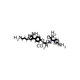 NCCCn1cc(-c2ccc(OC[C@H](O/N=C(\C(N)=O)c3csc(N)n3)C(=O)O)cc2)c(N)n1